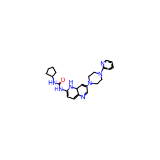 O=C(NC1=CC=C2N=CC(N3CCN(c4ccccn4)CC3)=CC2N1)NC1CCCC1